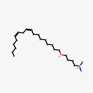 CCCCC/C=C\C/C=C\CCCCCCCCOCCCCN(C)C